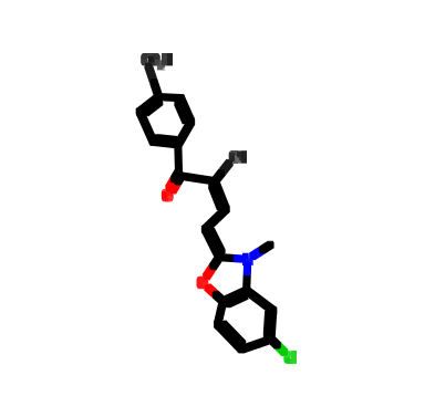 CN1C(=CC=C(C#N)C(=O)c2ccc(C(=O)O)cc2)Oc2ccc(Cl)cc21